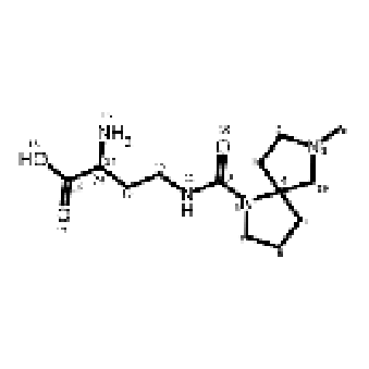 CN1CCC2(CCCN2C(=O)NCC[C@H](N)C(=O)O)C1